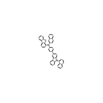 c1ccc2cc(N(c3ccc(-c4ccc5c(c4)c4ccccc4n5-c4cccc5ccccc45)cc3)c3cccc4c3sc3ccccc34)ccc2c1